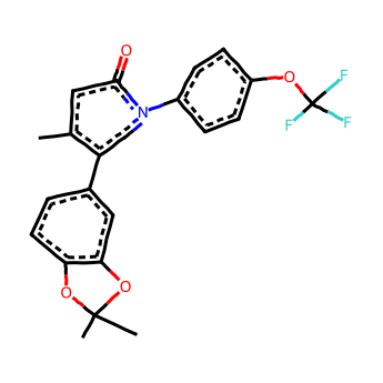 Cc1cc(=O)n(-c2ccc(OC(F)(F)F)cc2)cc1-c1ccc2c(c1)OC(C)(C)O2